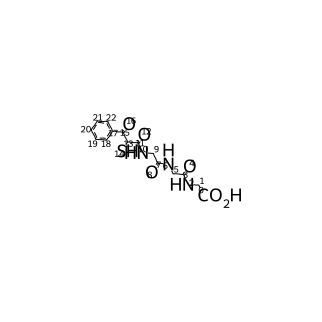 O=C(O)CNC(=O)CNC(=O)CNC(=O)C(S)C(=O)c1ccccc1